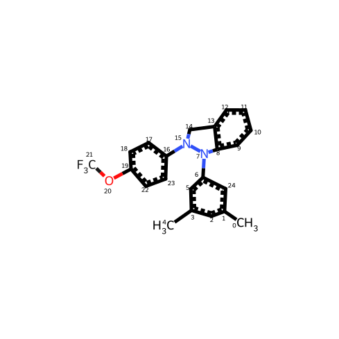 Cc1cc(C)cc(N2c3ccccc3CN2c2ccc(OC(F)(F)F)cc2)c1